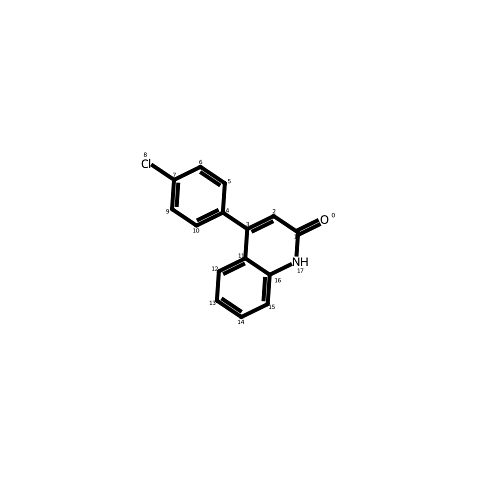 O=c1cc(-c2ccc(Cl)cc2)c2ccccc2[nH]1